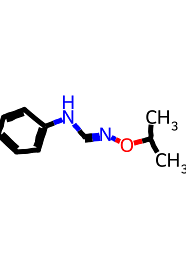 CC(C)ON=CNc1ccccc1